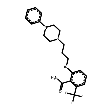 NC(=O)c1c(NCCCN2CCN(c3ccccc3)CC2)cccc1C(F)(F)F